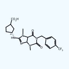 CN1C(=O)N(Cc2ccc(C(F)(F)F)cc2)C(=O)C2C1N=C(N[C@@H]1CCC(C(=O)O)C1)N2C